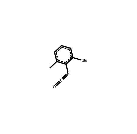 Cc1cccc(C(C)(C)C)c1N=C=O